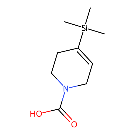 C[Si](C)(C)C1=CCN(C(=O)O)CC1